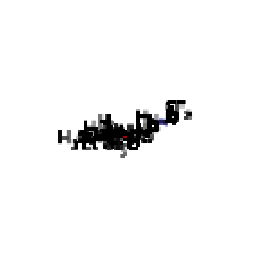 CC[N+](C)(C)CCCNC(=O)c1cc(NC(=O)c2cc(NC(=O)c3ccc(/C=C/c4cccc(C(F)(F)F)c4)nc3)cn2C)cn1C